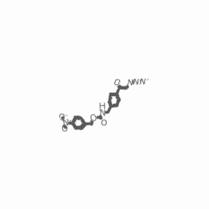 [N-]=[N+]=NCC(=O)c1ccc(CNC(=O)OCc2ccc([N+](=O)[O-])cc2)cc1